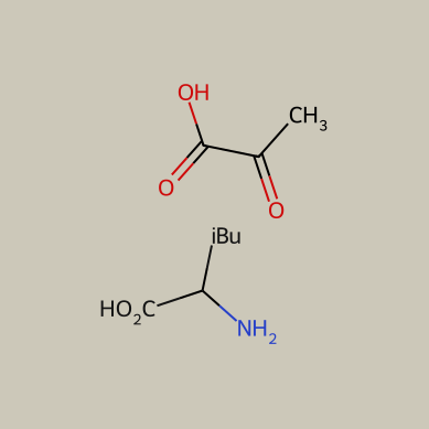 CC(=O)C(=O)O.CCC(C)C(N)C(=O)O